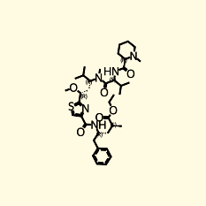 CCOC(=O)[C@@H](C)C[C@H](Cc1ccccc1)NC(=O)c1csc([C@@H](C[C@H](C(C)C)N(C)C(=O)[C@@H](NC(=O)[C@H]2CCCCN2C)C(C)C)OC)n1